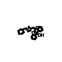 CN(CC1CCN(Cc2ccccc2)C1)C(=O)C(O)(c1ccccc1)c1ccccc1